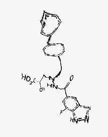 O=C(NN(Cc1ccc(-c2ccccc2)cc1)C[C@H](O)C(=O)O)c1cc(F)c2[nH]nnc2c1